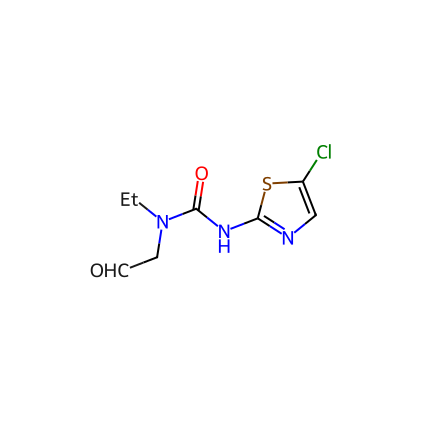 CCN(CC=O)C(=O)Nc1ncc(Cl)s1